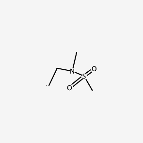 [CH2]CN(C)S(C)(=O)=O